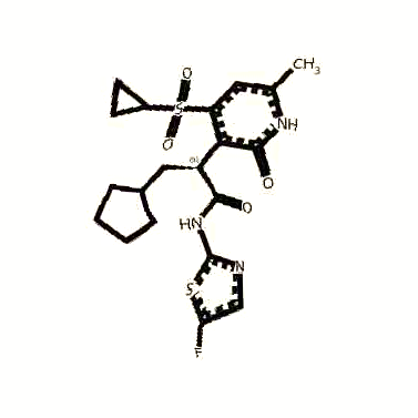 Cc1cc(S(=O)(=O)C2CC2)c([C@H](CC2CCCC2)C(=O)Nc2ncc(F)s2)c(=O)[nH]1